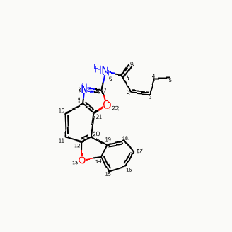 C=C(/C=C\CC)Nc1nc2ccc3oc4ccccc4c3c2o1